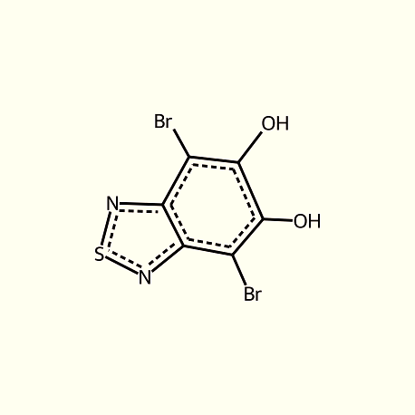 Oc1c(O)c(Br)c2nsnc2c1Br